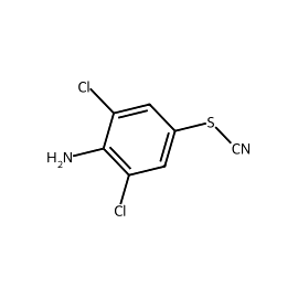 N#CSc1cc(Cl)c(N)c(Cl)c1